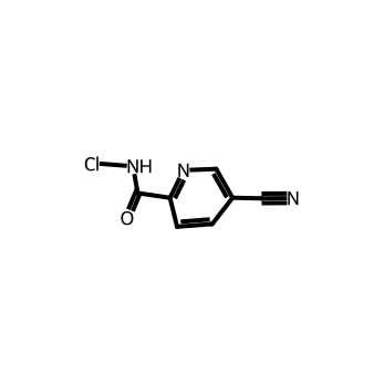 N#Cc1ccc(C(=O)NCl)nc1